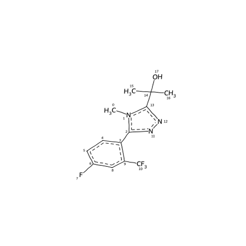 Cn1c(-c2ccc(F)cc2C(F)(F)F)nnc1C(C)(C)O